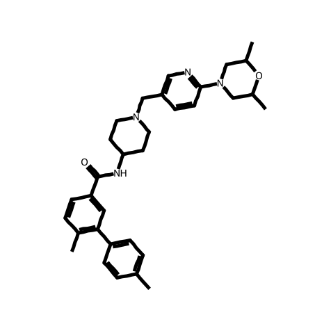 Cc1ccc(-c2cc(C(=O)NC3CCN(Cc4ccc(N5CC(C)OC(C)C5)nc4)CC3)ccc2C)cc1